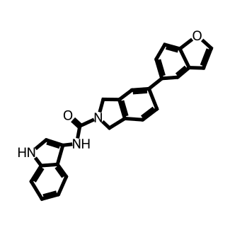 O=C(Nc1c[nH]c2ccccc12)N1Cc2ccc(-c3ccc4occc4c3)cc2C1